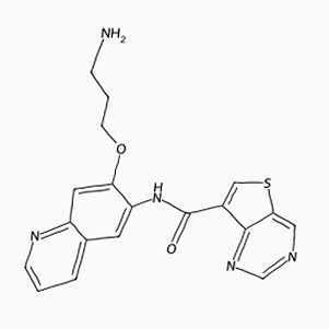 NCCCOc1cc2ncccc2cc1NC(=O)c1csc2cncnc12